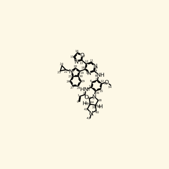 C=CC(=O)Nc1cc(Nc2ncc(-c3ncco3)c(-c3cn(C4CC4)c4ccccc34)n2)c(OC)cc1N1C[C@H]2CN(C)C[C@H]2C1